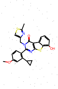 COc1ccc(-c2nc3sc4c(O)cccc4c3c(=O)n2Cc2csc(C)n2)c(C2CC2)c1